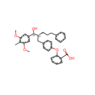 COc1cc([C@@H](O)[C@@H](CCCc2ccccc2)Cc2ccc(Oc3ccccc3C(=O)O)cc2)cc(OC)c1C